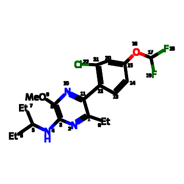 CCc1nc(NC(CC)CC)c(OC)nc1-c1ccc(OC(F)F)cc1Cl